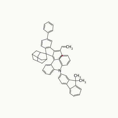 C=Cc1ccc(-c2ccccc2N(c2ccccc2)c2ccc3c(c2)C(C)(C)c2ccccc2-3)c2c1-c1cc(-c3ccccc3)ccc1C21C2CC3CC(C2)CC1C3